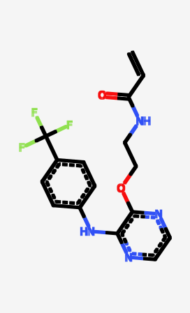 C=CC(=O)NCCOc1nccnc1Nc1ccc(C(F)(F)F)cc1